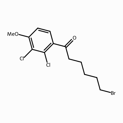 COc1ccc(C(=O)CCCCCBr)c(Cl)c1Cl